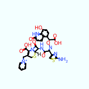 Nc1nc(/C(=N/OC(C(=O)O)c2ccc(O)c3[nH]c(=O)ccc23)C(=O)N[C@@H]2C(=O)N3C(C(=O)O)=C(C[n+]4ccccc4)CS[C@@H]23)cs1